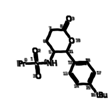 CC(C)S(=O)(=O)NC1CCC(=O)OC1c1ccc(C(C)(C)C)cc1